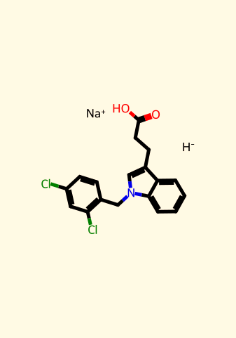 O=C(O)CCc1cn(Cc2ccc(Cl)cc2Cl)c2ccccc12.[H-].[Na+]